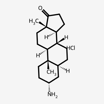 C[C@]12CC[C@@H](N)C[C@@H]1CC[C@@H]1[C@@H]2CC[C@]2(C)C(=O)CC[C@@H]12.Cl